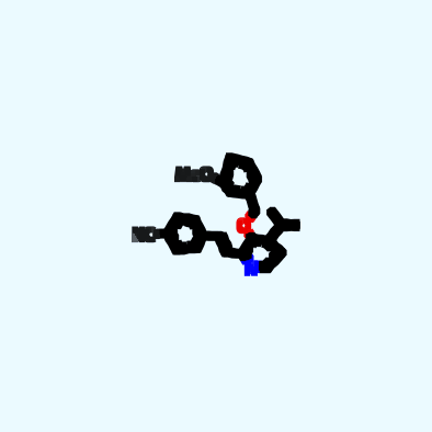 C=C(C)c1ccnc(C=Cc2ccc(C#N)cc2)c1OCc1cccc(OC)c1